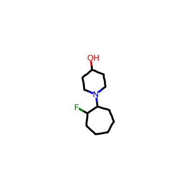 OC1CCN(C2CCCCCC2F)CC1